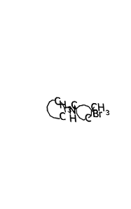 CC1(Br)CCCCCC(C)(NCC2CCCCCCCCCCC2)CCC1